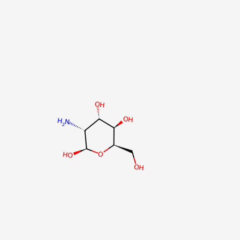 N[C@@H]1[C@H](O)[C@@H](O)[C@@H](CO)O[C@H]1O